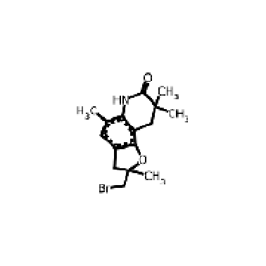 Cc1cc2c(c3c1NC(=O)C(C)(C)C3)OC(C)(CBr)C2